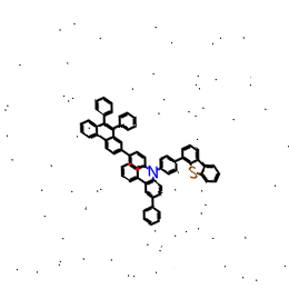 c1ccc(-c2ccc(N(c3ccc(-c4ccc5c(c4)c(-c4ccccc4)c(-c4ccccc4)c4ccccc45)cc3)c3ccc(-c4cccc5c4sc4ccccc45)cc3)c(-c3ccccc3)c2)cc1